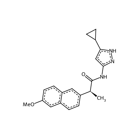 COc1ccc2cc([C@H](C)C(=O)Nc3cc(C4CC4)[nH]n3)ccc2c1